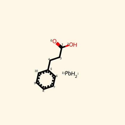 O=C(O)CCc1ccccc1.[PbH2]